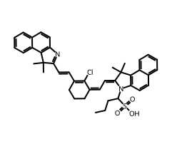 CCCC(N1/C(=C\C=C2\CCCC(/C=C/C3=Nc4ccc5ccccc5c4C3(C)C)=C2Cl)C(C)(C)c2c1ccc1ccccc21)S(=O)(=O)O